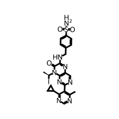 Cc1ncnc(C2CC2)c1-c1ncc2nc(NCc3ccc(S(N)(=O)=O)cc3)c(=O)n([C@H](C)I)c2n1